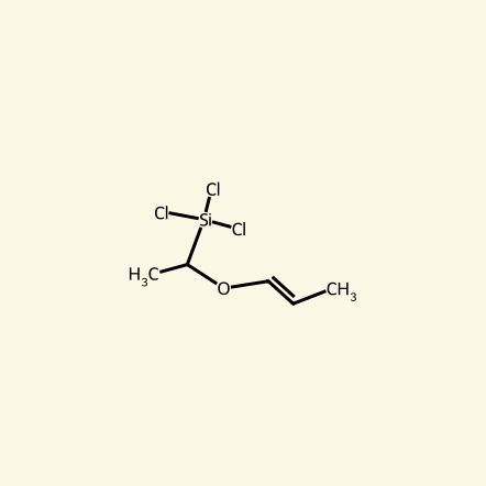 CC=COC(C)[Si](Cl)(Cl)Cl